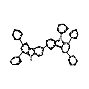 c1ccc(-c2cc(-c3ccccc3)c3[nH]c4ccc(-c5ccc6c(c5)c5cc(-c7ccccc7)cc(-c7ccccc7)c5n6-c5ccccc5)cc4c3c2)cc1